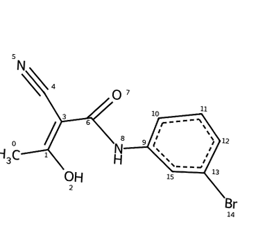 CC(O)=C(C#N)C(=O)Nc1cccc(Br)c1